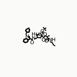 CCCCNC(=O)C(C)CC(O)C(CC(CNC(=O)c1cn(Cc2ccccc2)c2ccccc12)C(C)C)NC(=O)OC(C)(C)C